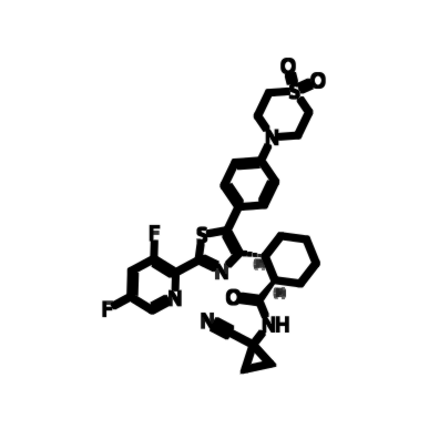 N#CC1(NC(=O)[C@@H]2CCCC[C@H]2c2nc(-c3ncc(F)cc3F)sc2-c2ccc(N3CCS(=O)(=O)CC3)cc2)CC1